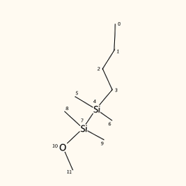 CCCC[Si](C)(C)[Si](C)(C)OC